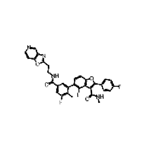 CNC(=O)c1c(-c2ccc(F)cc2)oc2ccc(-c3cc(C(=O)NCCc4nc5cnccc5o4)cc(F)c3C)c(F)c12